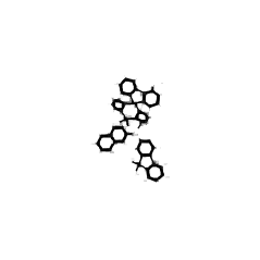 CC(C)(C)c1cccc2c1-c1ccccc1C21c2ccccc2C(C)(C)c2c(N(c3ccc4c(c3)C(C)(C)c3ccccc3-4)c3ccc4ccccc4c3)cccc21